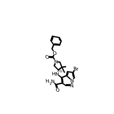 CC1(C)CN(C(=O)OCc2ccccc2)C[C@H]1Nc1c(C(N)=O)cnn2cc(Br)cc12